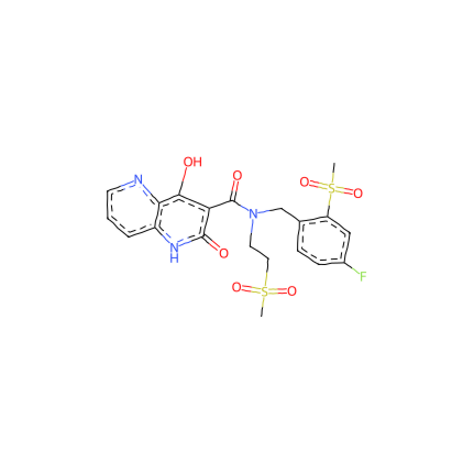 CS(=O)(=O)CCN(Cc1ccc(F)cc1S(C)(=O)=O)C(=O)c1c(O)c2ncccc2[nH]c1=O